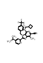 Cc1c(C#N)nc(N[C@H](C)C2CCC2)c2c1nc(-c1cc(C(C)C)ccn1)n2Cc1ccc(C(F)(F)F)cc1